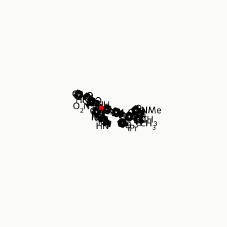 CNc1nc2c(c3c1OCCC3(C)C)[C@H](N1CCN(C3CC4(CCN(c5ccc(C(=O)NS(=O)(=O)c6cc7c(c([N+](=O)[O-])c6)N[C@H](C6CCOCC6)CO7)c(N6c7cc8cc[nH]c8nc7O[C@H]7COCC[C@@H]76)c5)CC4)C3)[C@H](c3ccccc3OC(C)C)C1)COC2(C)C